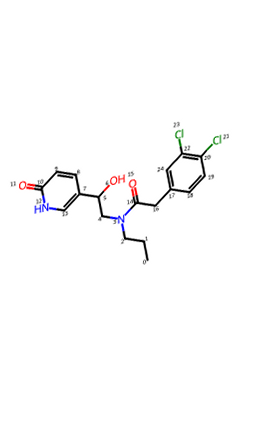 CCCN(CC(O)c1ccc(=O)[nH]c1)C(=O)Cc1ccc(Cl)c(Cl)c1